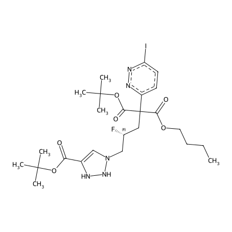 CCCCOC(=O)C(C[C@@H](F)CN1C=C(C(=O)OC(C)(C)C)NN1)(C(=O)OC(C)(C)C)c1ccc(I)nn1